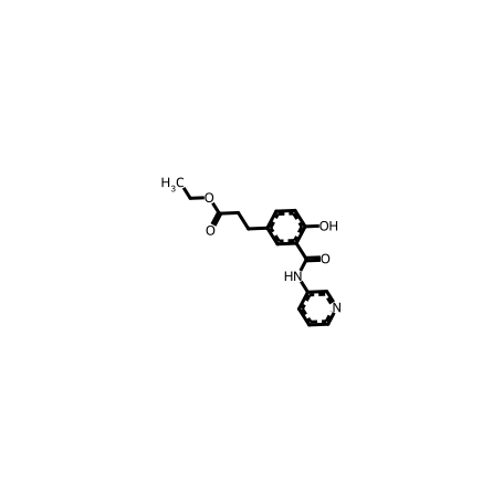 CCOC(=O)CCc1ccc(O)c(C(=O)Nc2cccnc2)c1